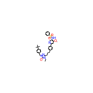 CCn1c(CCCc2ccc(-c3cc(OC)c(NS(=O)(=O)c4ccccc4)cn3)cc2)nn(Cc2ccc(C(C)(C)C)cc2)c1=O